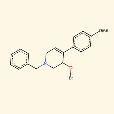 CCOC1CN(Cc2ccccc2)CC=C1c1ccc(OC)cc1